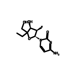 CCC1(CO)O[C@@H](n2ccc(N)nc2=O)[C@H](F)[C@@H]1O